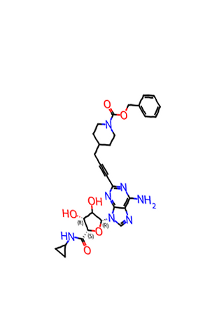 Nc1nc(C#CCC2CCN(C(=O)OCc3ccccc3)CC2)nc2c1ncn2[C@@H]1O[C@H](C(=O)NC2CC2)[C@H](O)C1O